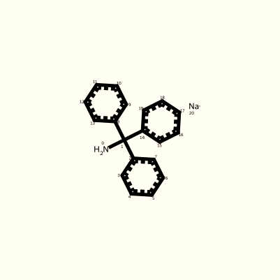 NC(c1ccccc1)(c1ccccc1)c1ccccc1.[Na]